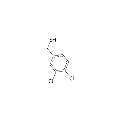 SCc1ccc(Cl)c(Cl)c1